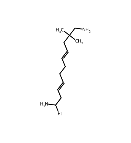 CCC(N)C/C=C/CC/C=C/CC(C)(C)CN